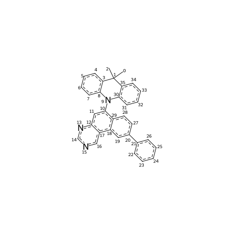 CC1(C)c2ccccc2N(c2cc3ncncc3c3cc(-c4ccccc4)ccc23)c2ccccc21